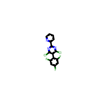 Fc1cc(F)c(-c2c(Cl)nc(-c3ccccn3)nc2Cl)c(F)c1